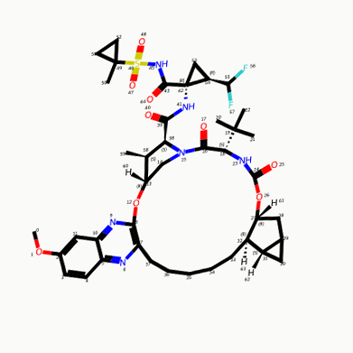 COc1ccc2nc3c(nc2c1)O[C@H]1CN(C(=O)[C@H](C(C)(C)C)NC(=O)O[C@@H]2CC4C[C@@H]4[C@H]2CCCCC3)[C@H](C(=O)N[C@]2(C(=O)NS(=O)(=O)C3(C)CC3)C[C@H]2C(F)F)[C@@H]1C